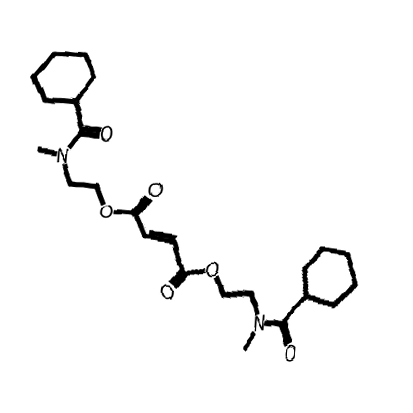 CN(CCOC(=O)/C=C/C(=O)OCCN(C)C(=O)C1CCCCC1)C(=O)C1CCCCC1